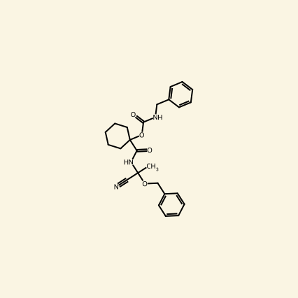 CC(C#N)(NC(=O)C1(OC(=O)NCc2ccccc2)CCCCC1)OCc1ccccc1